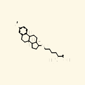 COc1ccc2c(c1)CC[C@@H]1[C@@H]2CC[C@]2(C)C(NCCCC[C@H](N)C(=O)O)CC[C@@H]12